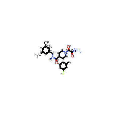 Cc1cc(F)ccc1[C@H]1CN(C(=O)C(N)=O)CCC1C(=O)N(C)Cc1cc(C(F)(F)F)cc(C(F)(F)F)c1